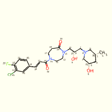 C[C@@H]1C[C@H](O)CN(C[C@H](O)CN2CCN(C(=O)C=Cc3ccc(F)c(Cl)c3)CCC2=O)C1